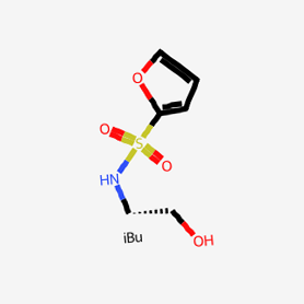 CC[C@H](C)[C@@H](CO)NS(=O)(=O)c1ccco1